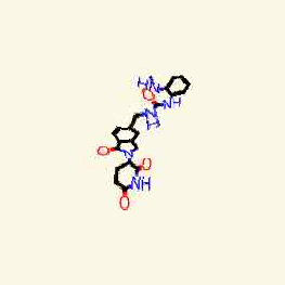 CNc1ccccc1NC(=O)NCC1C=CC2=C(C1)CN(C1CCC(=O)NC1=O)C2=O